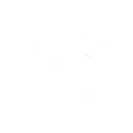 O=C(O)NCc1cc(Br)ccc1OCC1CC1